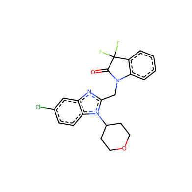 O=C1N(Cc2nc3cc(Cl)ccc3n2C2CCOCC2)c2ccccc2C1(F)F